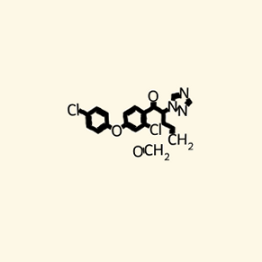 C=CCC(C(=O)c1ccc(Oc2ccc(Cl)cc2)cc1Cl)n1cncn1.C=O